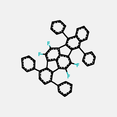 Fc1c(F)c2c3c(c(F)c(F)c4c3c1-c1c(-c3ccccc3)ccc(-c3ccccc3)c1-4)-c1c-2c(-c2ccccc2)c2ccccc2c1-c1ccccc1